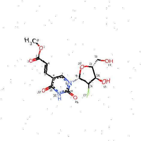 COC(=O)/C=C/c1cn([C@@H]2O[C@H](CO)[C@@H](O)C2F)c(=O)[nH]c1=O